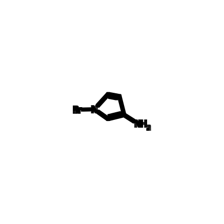 Nc1ccn(Br)c1